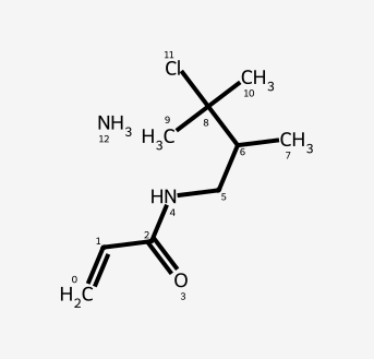 C=CC(=O)NCC(C)C(C)(C)Cl.N